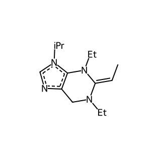 C/C=C1/N(CC)Cc2ncn(C(C)C)c2N1CC